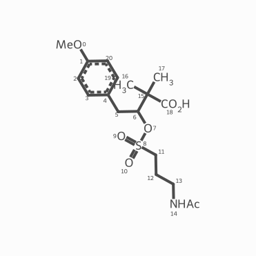 COc1ccc(CC(OS(=O)(=O)CCCNC(C)=O)C(C)(C)C(=O)O)cc1